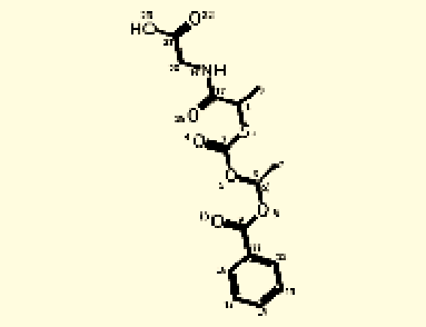 CC(SC(=O)O[C@@H](C)OC(=O)c1ccccc1)C(=O)NCC(=O)O